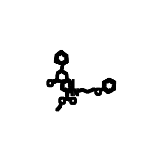 CCOC(=O)c1cc2c(nc1NCCCOc1ccccc1)CC(c1ccccc1)CC2=O